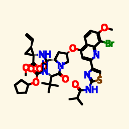 C=C[C@@H]1C[C@]1(NC(=O)[C@@H]1C[C@H](Oc2cc(-c3csc(NC(=O)C(C)C)n3)nc3c(Br)c(OC)ccc23)CN1C(=O)[C@@H](NC(=O)OC1CCCC1)C(C)(C)C)C(=O)OC